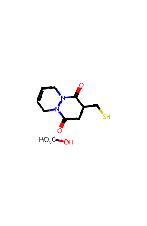 O=C(O)O.O=C1CC(CS)C(=O)N2CC=CCN12